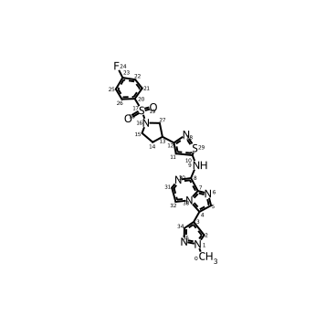 Cn1cc(-c2cnc3c(Nc4cc(C5CCN(S(=O)(=O)c6ccc(F)cc6)C5)ns4)nccn23)cn1